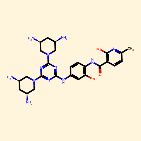 Cc1ccc(C(=O)Nc2ccc(Nc3nc(N4C[C@H](N)C[C@H](N)C4)nc(N4C[C@H](N)C[C@H](N)C4)n3)cc2O)c(O)n1